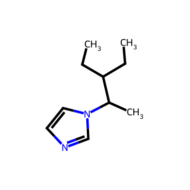 CCC(CC)C(C)n1ccnc1